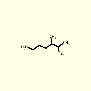 CCC(C)C(C)C(C)CCCN